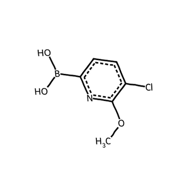 COc1nc(B(O)O)ccc1Cl